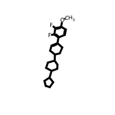 COc1ccc(C2=CCC(C3CCC(C4CCCC4)CC3)CC2)c(F)c1F